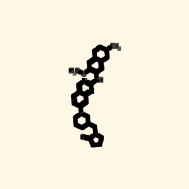 COc1cc2c(cc1Nc1ncc3ccc(N4CCCC(CN5CCCC5=O)C4)cc3n1)CN(C)CC2